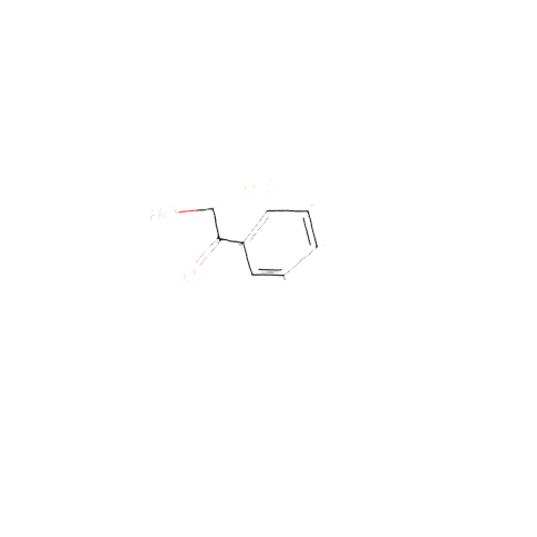 O=C(CO)c1ccccc1.S